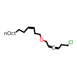 CCCCCCCCCC/C=C\CCOCC=C=CCCCl